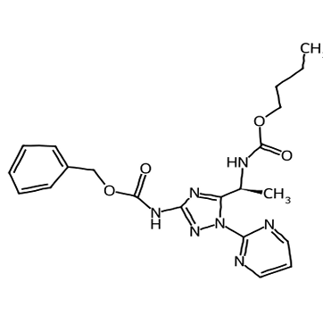 CCCCOC(=O)N[C@@H](C)c1nc(NC(=O)OCc2ccccc2)nn1-c1ncccn1